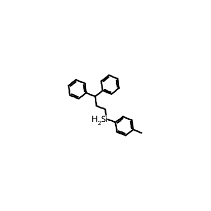 Cc1ccc([SiH2]CCC(c2ccccc2)c2ccccc2)cc1